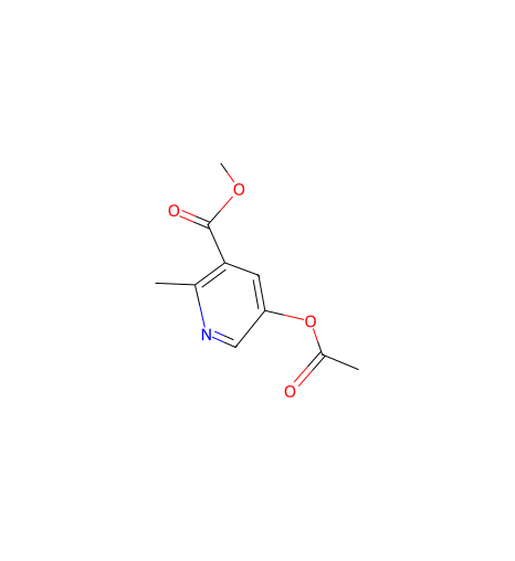 COC(=O)c1cc(OC(C)=O)cnc1C